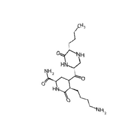 CCCC[C@@H]1NC[C@H](C(=O)C2C[C@H](C(N)=O)NC(=O)[C@@H]2CCCCN)NC1=O